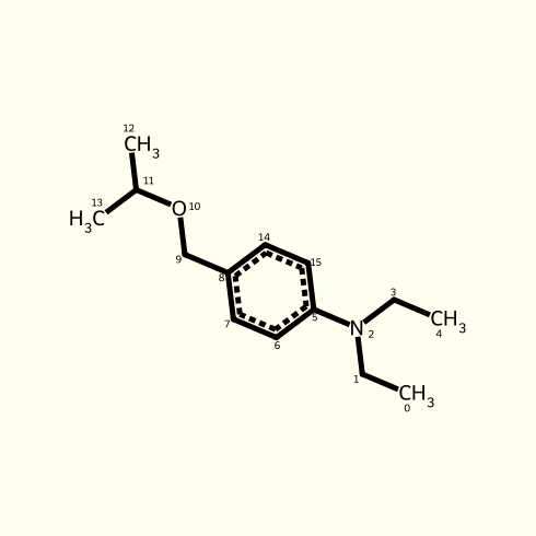 CCN(CC)c1ccc(COC(C)C)cc1